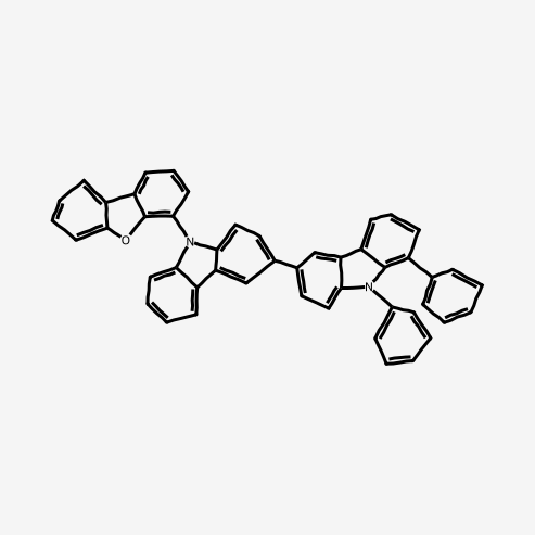 c1ccc(-c2cccc3c4cc(-c5ccc6c(c5)c5ccccc5n6-c5cccc6c5oc5ccccc56)ccc4n(-c4ccccc4)c23)cc1